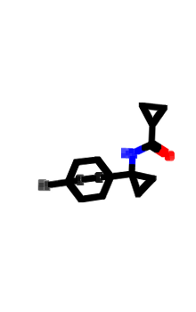 CCC12CCC(C3(NC(=O)C4CC4)CC3)(CC1)CC2